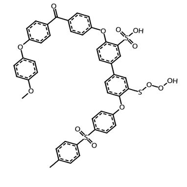 COc1ccc(Oc2ccc(C(=O)c3ccc(Oc4ccc(-c5ccc(Oc6ccc(S(=O)(=O)c7ccc(C)cc7)cc6)c(SOOO)c5)cc4S(=O)(=O)O)cc3)cc2)cc1